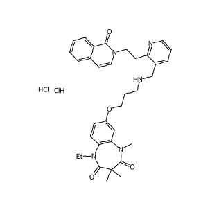 CCN1C(=O)C(C)(C)C(=O)N(C)c2cc(OCCCNCc3cccnc3CCn3ccc4ccccc4c3=O)ccc21.Cl.Cl